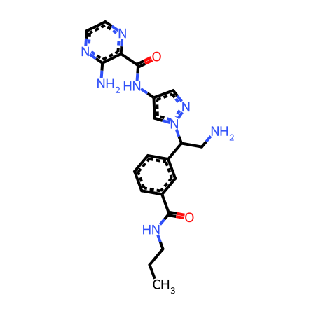 CCCNC(=O)c1cccc(C(CN)n2cc(NC(=O)c3nccnc3N)cn2)c1